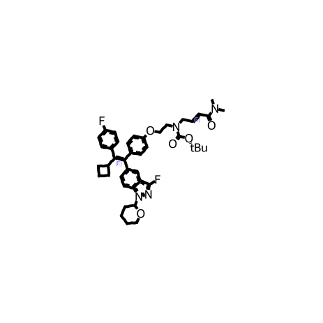 CN(C)C(=O)/C=C/CN(CCOc1ccc(/C(=C(\c2ccc(F)cc2)C2CCC2)c2ccc3c(c2)c(F)nn3C2CCCCO2)cc1)C(=O)OC(C)(C)C